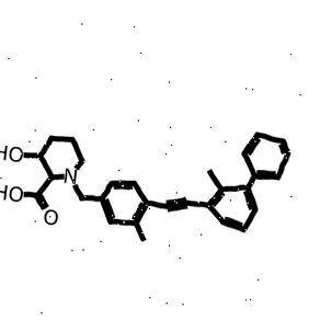 Cc1cc(CN2CCCC(O)C2C(=O)O)ccc1C#Cc1cccc(-c2ccccc2)c1C